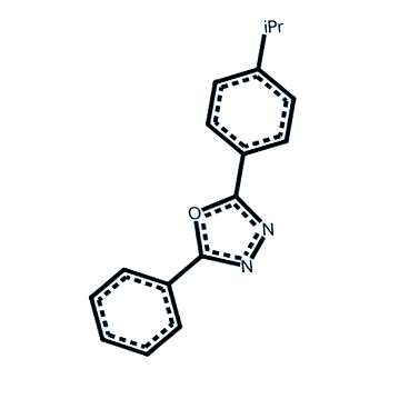 CC(C)c1ccc(-c2nnc(-c3ccccc3)o2)cc1